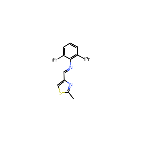 Cc1nc(/C=N/c2c(C(C)C)cccc2C(C)C)cs1